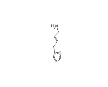 NCC=CCc1ccco1